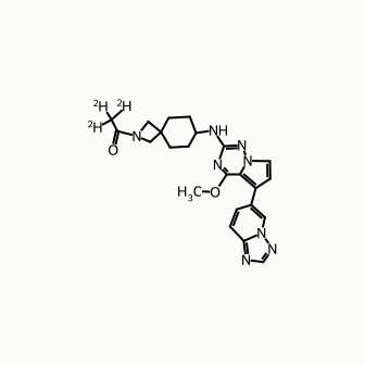 [2H]C([2H])([2H])C(=O)N1CC2(CCC(Nc3nc(OC)c4c(-c5ccc6ncnn6c5)ccn4n3)CC2)C1